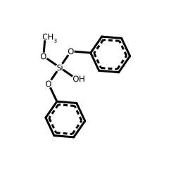 CO[Si](O)(Oc1ccccc1)Oc1ccccc1